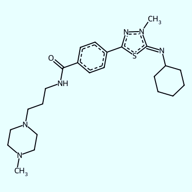 CN1CCN(CCCNC(=O)c2ccc(-c3nn(C)c(=NC4CCCCC4)s3)cc2)CC1